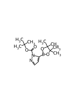 CC(C)(C)OC(=O)n1nccc1B1OC(C)(C)C(C)(C)O1